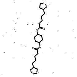 O=C(CCCCC1CCSS1)OC1CCC(OC(=O)CCCCC2CCSS2)CC1